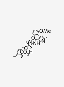 C/C=C(\C=C/CCOc1nnc(NC(=O)c2cnc(C)cc2-c2ccccc2OC)s1)C1(C(=O)O)CC1